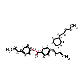 C=CCC(c1ccc(C(=O)Oc2ccc(CCC)cc2)cc1)[C@H]1CC[C@H](CCCCC)CC1